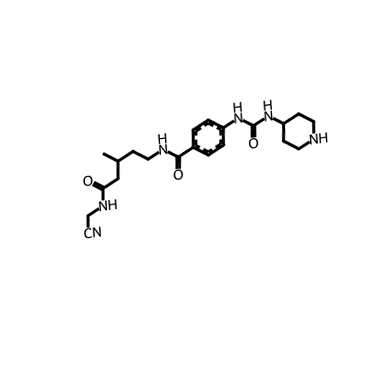 CC(CCNC(=O)c1ccc(NC(=O)NC2CCNCC2)cc1)CC(=O)NCC#N